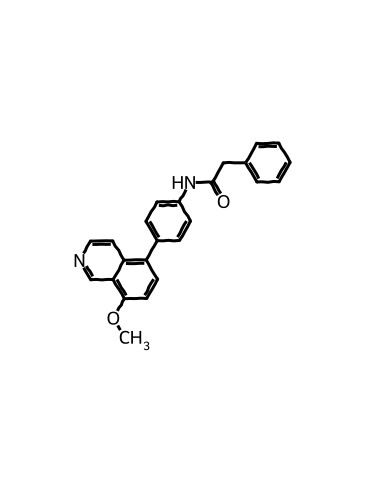 COc1ccc(-c2ccc(NC(=O)Cc3ccccc3)cc2)c2ccncc12